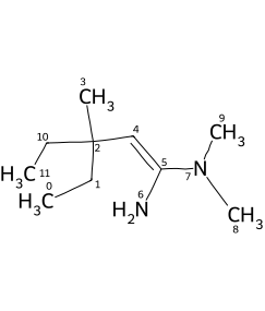 CCC(C)(/C=C(\N)N(C)C)CC